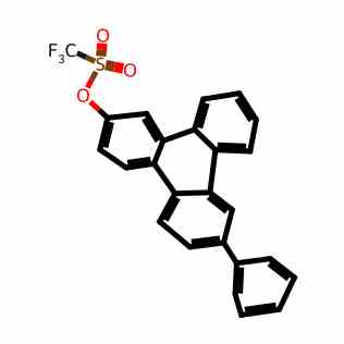 O=S(=O)(Oc1ccc2c3ccc(-c4ccccc4)cc3c3ccccc3c2c1)C(F)(F)F